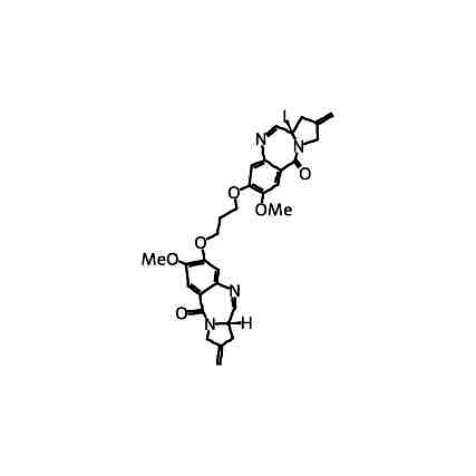 C=C1C[C@H]2C=Nc3cc(OCCCOc4cc5c(cc4OC)C(=O)N4CC(=C)C[C@@]4(I)C=N5)c(OC)cc3C(=O)N2C1